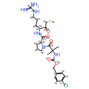 CC(C)(NC(=O)OCc1ccc(Cl)cc1)C(=O)N1CCC[C@H]1C(=O)N[C@@H](CCCNC(=N)N)C(=O)CF